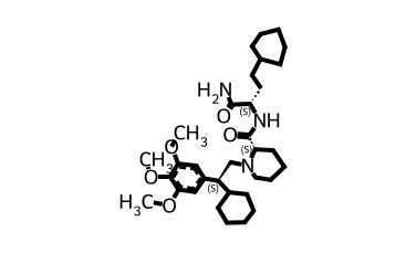 COc1cc([C@@H](CN2CCCC[C@H]2C(=O)N[C@@H](CCC2CCCCC2)C(N)=O)C2CCCCC2)cc(OC)c1OC